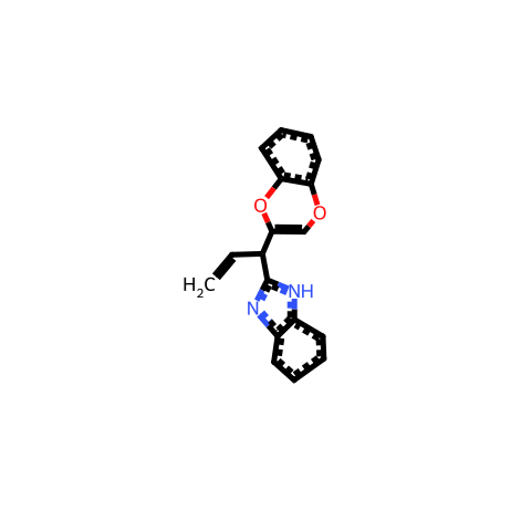 C=CC(C1=COc2ccccc2O1)c1nc2ccccc2[nH]1